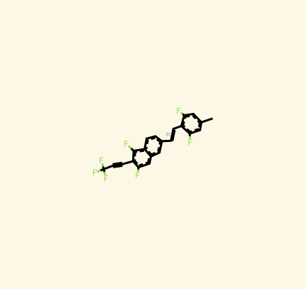 Cc1cc(F)c(/C=C/c2ccc3c(F)c(C#CC(F)(F)F)c(F)cc3c2)c(F)c1